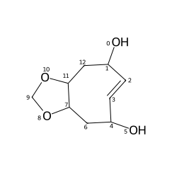 OC1/C=C/C(O)CC2OCOC2C1